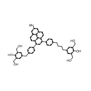 CC(C)(C)c1cc2ccc3c(-c4ccc(CCCCc5cc(CO)c(O)c(CO)c5)cc4)cc(-c4ccc(Cc5cc(CO)c(O)c(CO)c5)cc4)c4ccc(c1)c2c34